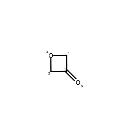 O=C1[CH]OC1